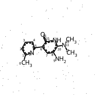 Cc1cccc(-c2cc(N)c(N(C)C)[nH]c2=O)n1